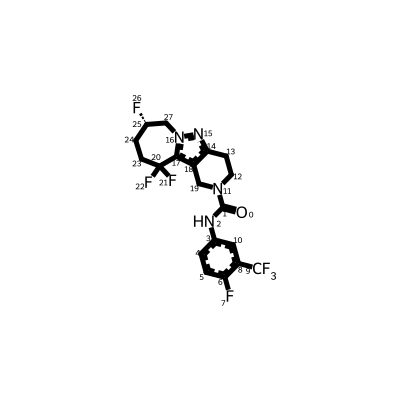 O=C(Nc1ccc(F)c(C(F)(F)F)c1)N1CCc2nn3c(c2C1)C(F)(F)CC[C@H](F)C3